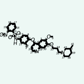 COc1cc2c(Oc3ccc(NS(=O)(=O)c4ccccc4N=O)cc3F)ccnc2cc1OCCCN1CCCC(C)C1